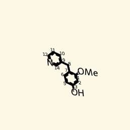 COc1cc(O)ccc1Cc1cccnc1